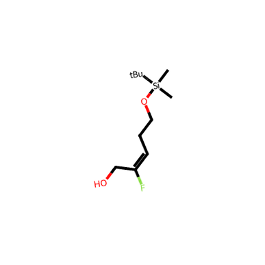 CC(C)(C)[Si](C)(C)OCC/C=C(/F)CO